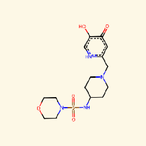 O=c1cc(CN2CCC(NS(=O)(=O)N3CCOCC3)CC2)[nH]cc1O